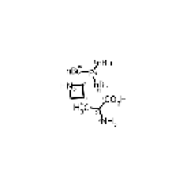 C1CNC1.CC(N)C(=O)O.CCCCP(CCCC)CCCC